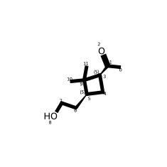 CC(=O)[C@H]1C[C@@H](CCO)C1(C)C